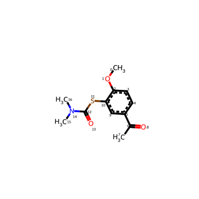 COc1ccc(C(C)=O)cc1SC(=O)N(C)C